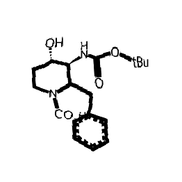 CC(C)(C)OC(=O)N[C@H]1C(Cc2ccccc2)N(C(=O)O)CC[C@@H]1O